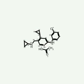 CC(=O)O.Clc1cccc(Nc2cc(C3CC3)c(CNC3CC3)cn2)c1